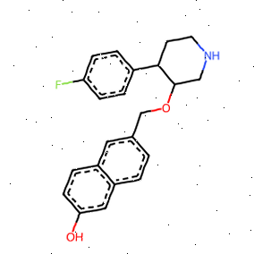 Oc1ccc2cc(COC3CNCCC3c3ccc(F)cc3)ccc2c1